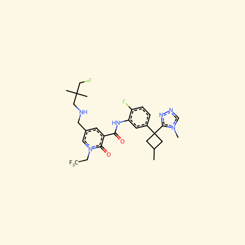 CC1CC(c2ccc(F)c(NC(=O)c3cc(CNCC(C)(C)CF)cn(CC(F)(F)F)c3=O)c2)(c2nncn2C)C1